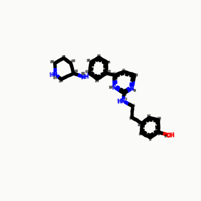 Oc1ccc(CCNc2nccc(-c3cccc(NC4CCCNC4)c3)n2)cc1